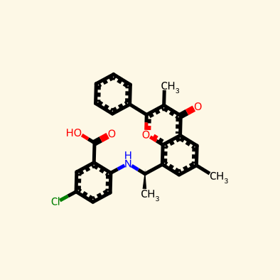 Cc1cc([C@@H](C)Nc2ccc(Cl)cc2C(=O)O)c2oc(-c3ccccc3)c(C)c(=O)c2c1